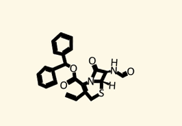 C=CC1=C(C(=O)OC(c2ccccc2)c2ccccc2)N2C(=O)[C@@H](NC=O)[C@@H]2SC1